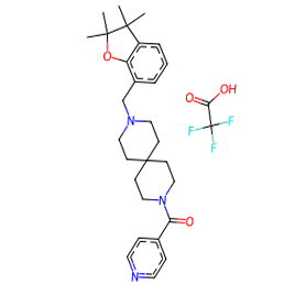 CC1(C)Oc2c(CN3CCC4(CC3)CCN(C(=O)c3ccncc3)CC4)cccc2C1(C)C.O=C(O)C(F)(F)F